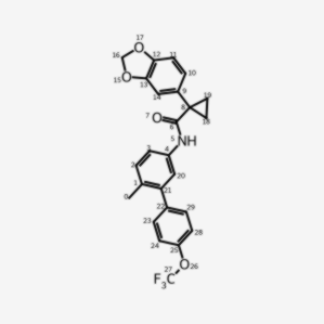 Cc1ccc(NC(=O)C2(c3ccc4c(c3)OCO4)CC2)cc1-c1ccc(OC(F)(F)F)cc1